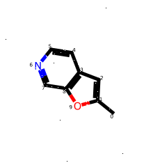 Cc1cc2ccncc2o1